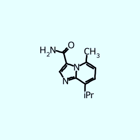 Cc1ccc(C(C)C)c2ncc(C(N)=O)n12